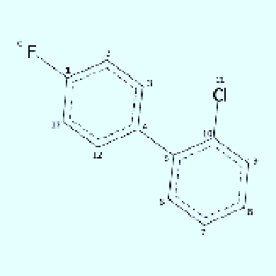 Fc1ccc(-c2ccc[c]c2Cl)cc1